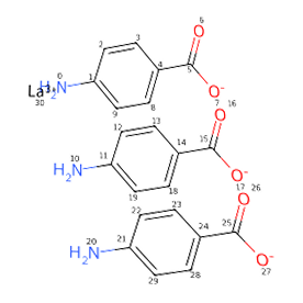 Nc1ccc(C(=O)[O-])cc1.Nc1ccc(C(=O)[O-])cc1.Nc1ccc(C(=O)[O-])cc1.[La+3]